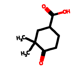 CC1(C)CC(C(=O)O)CCC1=O